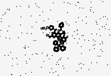 CCSc1nc(N(C)[C@H]2CCN(C(=O)O)C2)c2c(O[C@@H](C)c3ccccc3)c(C3CC3)c(-c3c(C)c(F)cc4nn(C(c5ccccc5)(c5ccccc5)c5ccccc5)cc34)c(C(C)(C)C)c2n1